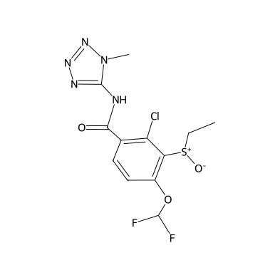 CC[S+]([O-])c1c(OC(F)F)ccc(C(=O)Nc2nnnn2C)c1Cl